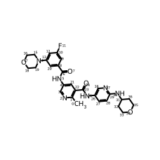 Cc1ncc(NC(=O)c2cc(F)cc(N3CCOCC3)c2)cc1C(=O)Nc1ccc(NC2CCOCC2)nc1